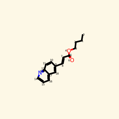 CCCCOC(=O)/C=C/c1ccc2ncccc2c1